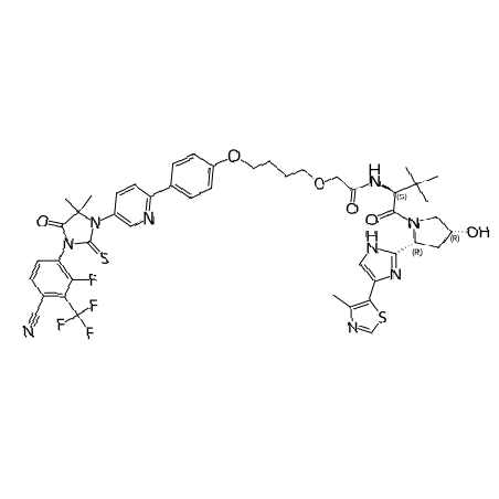 Cc1ncsc1-c1c[nH]c([C@H]2C[C@@H](O)CN2C(=O)[C@@H](NC(=O)COCCCCOc2ccc(-c3ccc(N4C(=S)N(c5ccc(C#N)c(C(F)(F)F)c5F)C(=O)C4(C)C)cn3)cc2)C(C)(C)C)n1